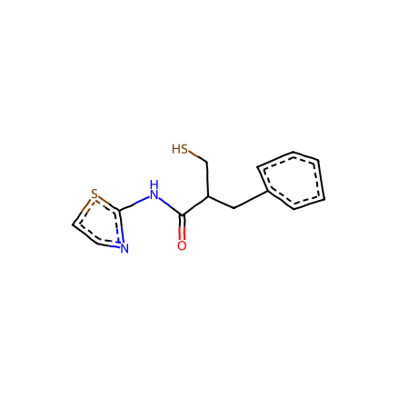 O=C(Nc1nccs1)C(CS)Cc1ccccc1